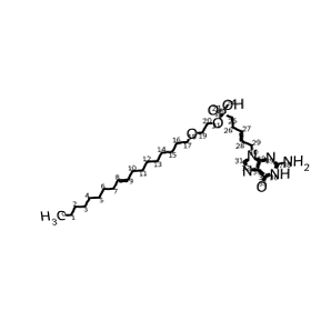 CCCCCCCCC=CCCCCCCCCOCCOP(=O)(O)CCC=CCn1cnc2c(=O)[nH]c(N)nc21